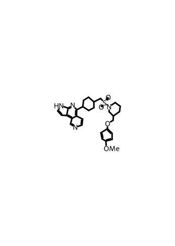 COc1ccc(OCC2CCCN(S(=O)(=O)CC3CCC(c4nc5[nH]ccc5c5cnccc45)CC3)C2)cc1